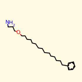 NCCCOCCCCCCCCCCCCCCCc1ccccc1